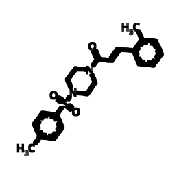 Cc1ccc(S(=O)(=O)N2CCN(C(=O)/C=C/c3ccccc3C)CC2)cc1